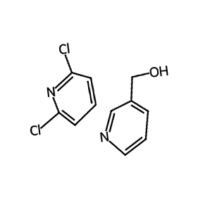 Clc1cccc(Cl)n1.OCc1cccnc1